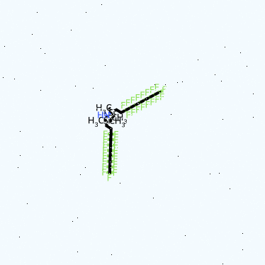 C[Si](C)(CCC(F)(F)C(F)(F)C(F)(F)C(F)(F)C(F)(F)C(F)(F)C(F)(F)C(F)(F)F)N[Si](C)(C)CCC(F)(F)C(F)(F)C(F)(F)C(F)(F)C(F)(F)C(F)(F)C(F)(F)C(F)(F)F